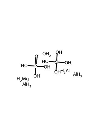 O.O=P(O)(O)O.O[Si](O)(O)O.[AlH3].[AlH3].[AlH3].[MgH2]